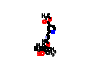 COC(=O)c1ccnc(/C=C/BOC(C)(C)C(C)(C)O)c1